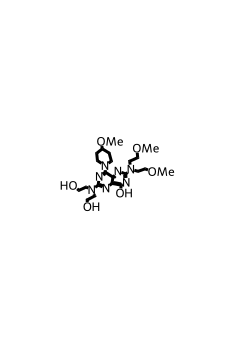 COCCN(CCOC)c1nc(O)c2nc(N(CCO)CCO)nc(N3CCC(OC)CC3)c2n1